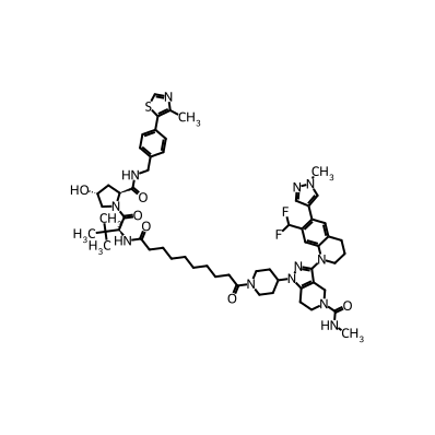 CNC(=O)N1CCc2c(c(N3CCCc4cc(-c5cnn(C)c5)c(C(F)F)cc43)nn2C2CCN(C(=O)CCCCCCCCC(=O)N[C@H](C(=O)N3C[C@H](O)C[C@H]3C(=O)NCc3ccc(-c4scnc4C)cc3)C(C)(C)C)CC2)C1